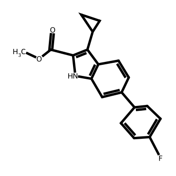 COC(=O)c1[nH]c2cc(-c3ccc(F)cc3)ccc2c1C1CC1